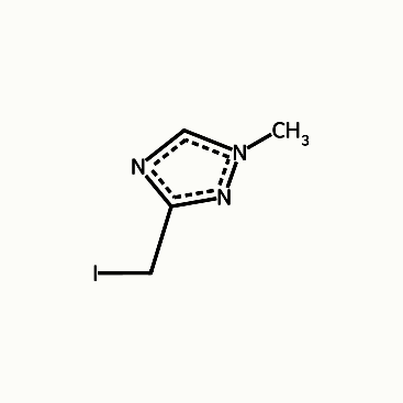 Cn1cnc(CI)n1